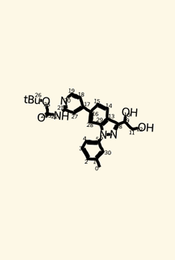 Cc1cccc(-n2nc(C(O)CO)c3ccc(-c4ccnc(NC(=O)OC(C)(C)C)c4)cc32)c1